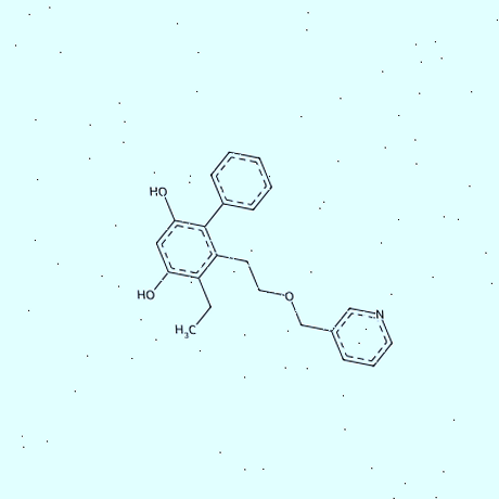 CCc1c(O)cc(O)c(-c2ccccc2)c1CCOCc1cccnc1